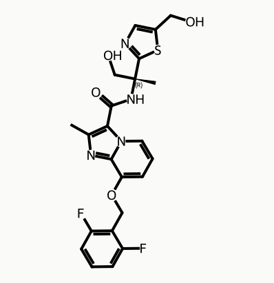 Cc1nc2c(OCc3c(F)cccc3F)cccn2c1C(=O)N[C@](C)(CO)c1ncc(CO)s1